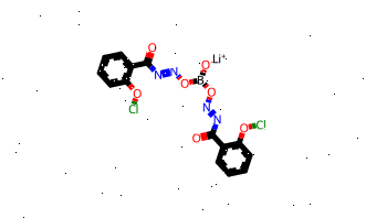 O=C(N=NOB([O-])ON=NC(=O)c1ccccc1OCl)c1ccccc1OCl.[Li+]